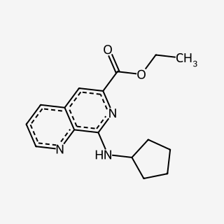 CCOC(=O)c1cc2cccnc2c(NC2CCCC2)n1